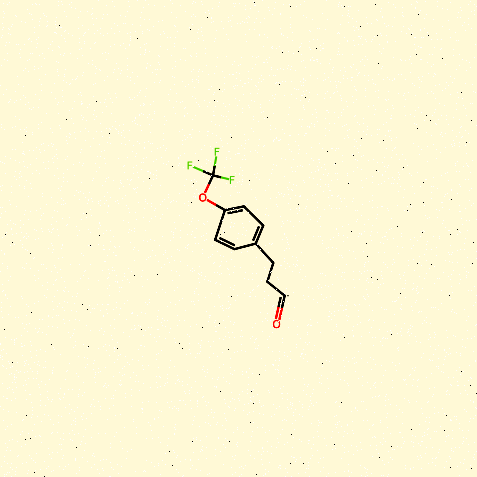 O=[C]CCc1ccc(OC(F)(F)F)cc1